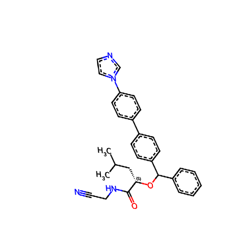 CC(C)C[C@H](OC(c1ccccc1)c1ccc(-c2ccc(-n3ccnc3)cc2)cc1)C(=O)NCC#N